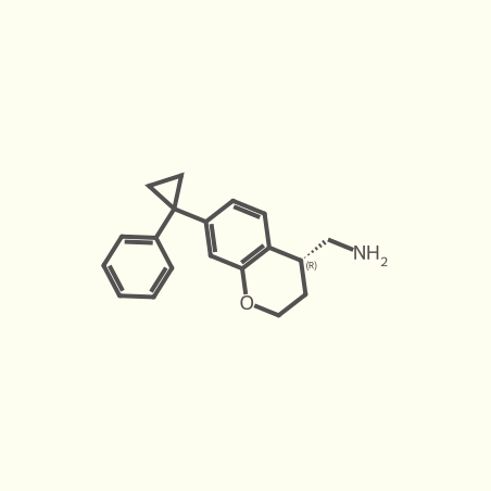 NC[C@@H]1CCOc2cc(C3(c4ccccc4)CC3)ccc21